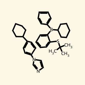 CC(C)(C)Sc1ccccc1B(c1ccccc1)C1CCCCC1.c1cn(-c2ccc(C3CCCCC3)cc2)cn1